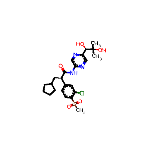 CC(C)(O)[C@H](O)c1cnc(NC(=O)[C@H](CC2CCCC2)c2ccc(S(C)(=O)=O)c(Cl)c2)cn1